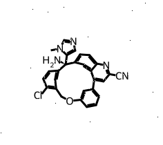 Cn1cncc1[C@@]1(N)c2ccc(Cl)c(c2)COc2cccc(c2)-c2cc(C#N)nc3ccc1cc23